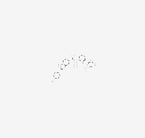 CC(C)n1cnnc1-c1cccc(NC(=O)c2ccc3nc(-c4ccc(C(C)(C)C)cc4)sc3c2)n1